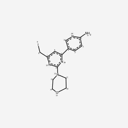 Nc1ccc(-c2cc(CI)nc(N3CCOCC3)n2)cn1